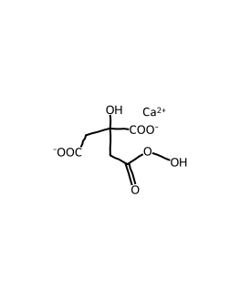 O=C([O-])CC(O)(CC(=O)OO)C(=O)[O-].[Ca+2]